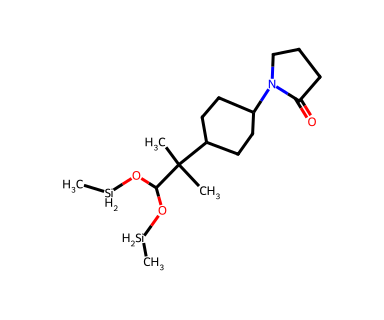 C[SiH2]OC(O[SiH2]C)C(C)(C)C1CCC(N2CCCC2=O)CC1